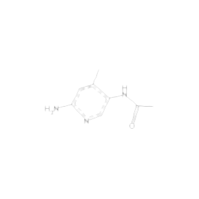 CC(=O)Nc1cnc(N)cc1C